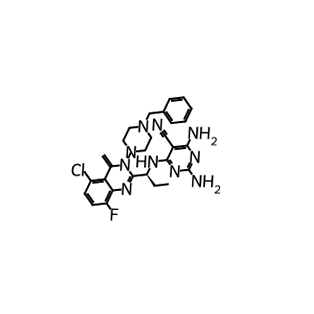 C=C1c2c(Cl)ccc(F)c2N=C([C@H](CC)Nc2nc(N)nc(N)c2C#N)N1N1CCN(Cc2ccccc2)CC1